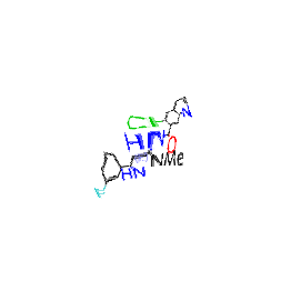 CN/C(=C\C(=N)c1cccc(F)c1)NC(=O)c1cc2ncccc2cc1Cl